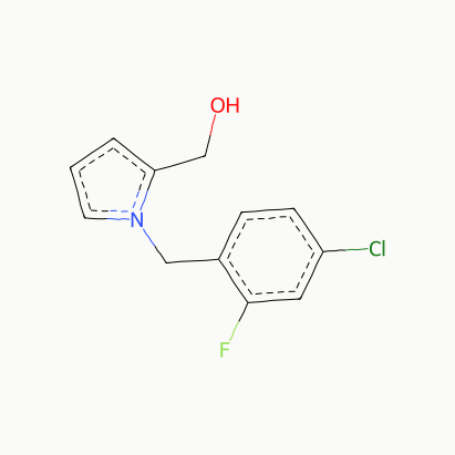 OCc1cccn1Cc1ccc(Cl)cc1F